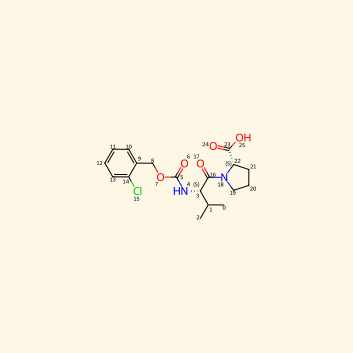 CC(C)[C@H](NC(=O)OCc1ccccc1Cl)C(=O)N1CCC[C@H]1C(=O)O